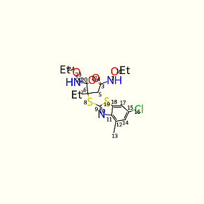 CCONC(=O)CC(CC)(Sc1nc2c(C)cc(Cl)cc2s1)C(=O)NOCC